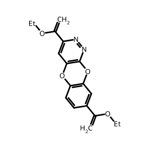 C=C(OCC)c1ccc2c(c1)Oc1nnc(C(=C)OCC)cc1O2